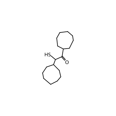 O=C(C1CCCCCCC1)C(S)C1CCCCCCC1